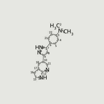 CN(C)c1ccc(-c2cc(-c3cnc4[nH]ccc4c3)n[nH]2)cc1